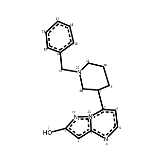 Oc1cc2nccc(C3CCCN(Cc4ccccc4)C3)n2n1